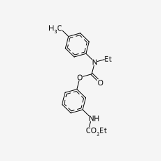 CCOC(=O)Nc1cccc(OC(=O)N(CC)c2ccc(C)cc2)c1